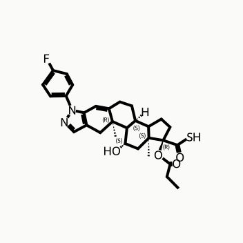 CCC(=O)O[C@]1(C(=O)S)CCC2[C@@H]3CCC4=Cc5c(cnn5-c5ccc(F)cc5)C[C@]4(C)C3[C@@H](O)C[C@@]21C